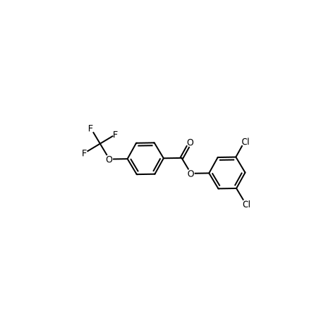 O=C(Oc1cc(Cl)cc(Cl)c1)c1ccc(OC(F)(F)F)cc1